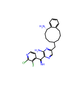 N=C(c1ccnc(Cl)c1F)c1ncc(CC2CCCc3ccccc3[C@@H](N)CCC2)nc1N